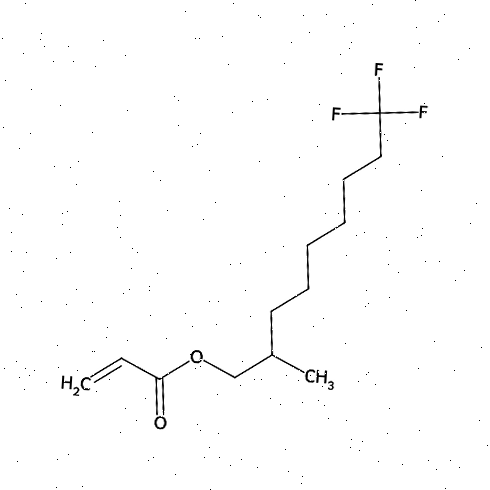 C=CC(=O)OCC(C)CCCCCCC(F)(F)F